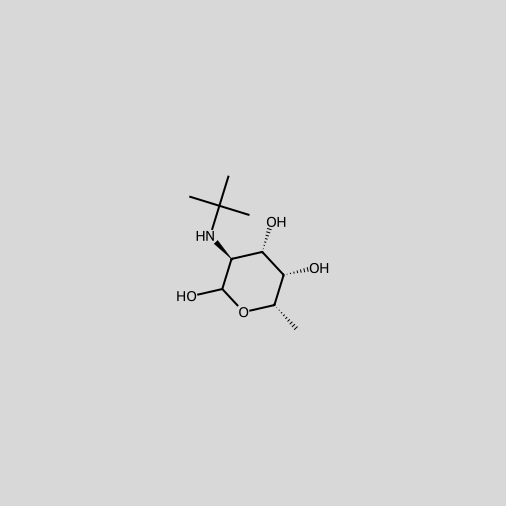 C[C@@H]1OC(O)[C@@H](NC(C)(C)C)[C@H](O)[C@@H]1O